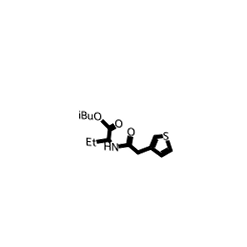 CCC(NC(=O)Cc1ccsc1)C(=O)OCC(C)C